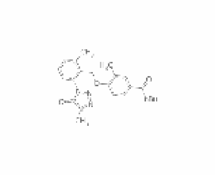 CCCCC(=O)c1ccc(OCc2c(C)cccc2-n2nnn(C)c2=O)c(C)c1